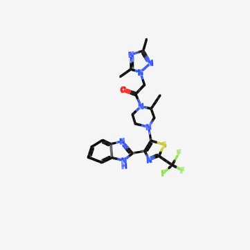 Cc1nc(C)n(CC(=O)N2CCN(c3sc(C(F)(F)F)nc3-c3nc4ccccc4[nH]3)CC2C)n1